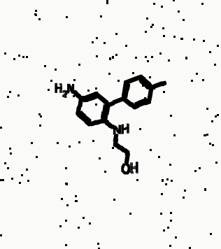 Cc1ccc(-c2cc(N)ccc2NCCO)cc1